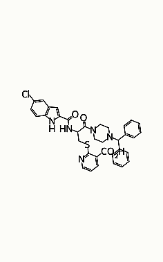 O=C(NC(CSc1ncccc1C(=O)O)C(=O)N1CCN(C(c2ccccc2)c2ccccc2)CC1)c1cc2cc(Cl)ccc2[nH]1